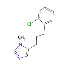 Cn1cncc1CCCc1ccccc1Cl